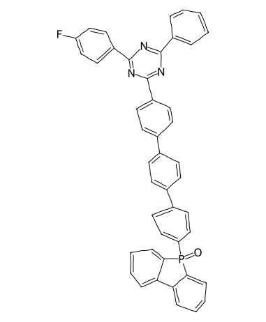 O=P1(c2ccc(-c3ccc(-c4ccc(-c5nc(-c6ccccc6)nc(-c6ccc(F)cc6)n5)cc4)cc3)cc2)c2ccccc2-c2ccccc21